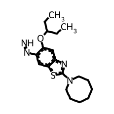 CCC(CC)Oc1cc2nc(N3CCCCCCC3)sc2cc1N=N